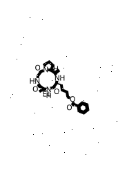 C=C1N[C@@H](CCCCOC(=O)c2ccccc2)C(=O)N[C@@](C)(CC)C(=O)NCC(=O)N2CCC[C@H]12